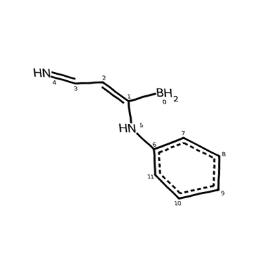 B/C(=C/C=N)Nc1ccccc1